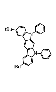 CC(C)(C)c1ccc2c(c1)c1cc3c4cc(C(C)(C)C)ccc4n(-c4ccccc4)c3cc1n2-c1ccccc1